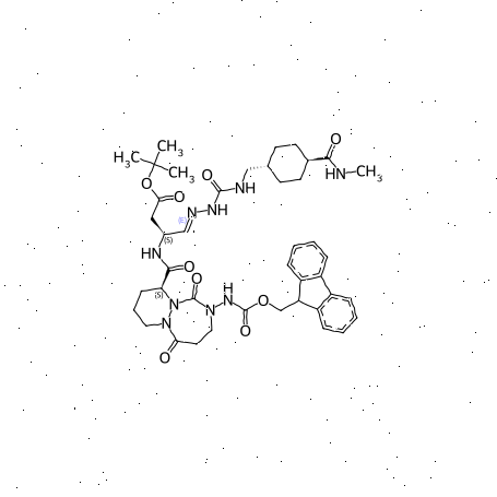 CNC(=O)[C@H]1CC[C@H](CNC(=O)N/N=C/[C@H](CC(=O)OC(C)(C)C)NC(=O)[C@@H]2CCCN3C(=O)CCN(NC(=O)OCC4c5ccccc5-c5ccccc54)C(=O)N23)CC1